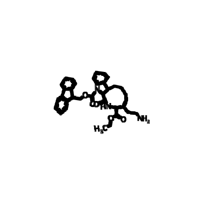 CCOC(=O)C1NC(=O)C(NC(=O)OCC2c3ccccc3-c3ccccc32)C(c2ccccc2)CCCCC1CCN